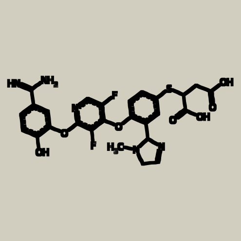 CN1CC=NC1c1cc(SC(CC(=O)O)C(=O)O)ccc1Oc1c(F)cnc(Oc2cc(C(=N)N)ccc2O)c1F